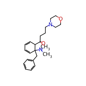 CN(C)C1(Cc2ccccc2)C=CC=CC1C(=O)CCCN1CCOCC1